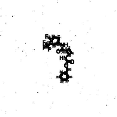 O=C(N[C@@H]1CC[C@@H]1C(=O)Nc1ccc(F)c(C(F)(F)F)c1)OCc1ccccc1